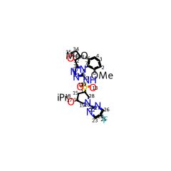 COc1cccc(OC)c1-n1c(NS(=O)(=O)[C@@H]2C[C@@H](OC(C)C)CN(c3ncc(F)cn3)C2)nnc1C1CCCO1